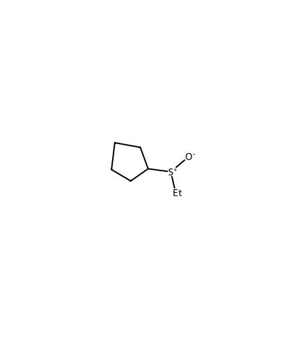 CC[S+]([O-])C1CCCC1